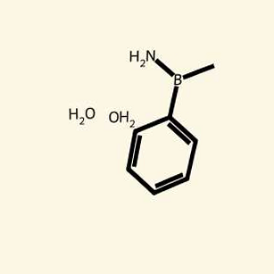 CB(N)c1ccccc1.O.O